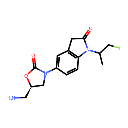 CC(CF)N1C(=O)Cc2cc(N3C[C@@H](CN)OC3=O)ccc21